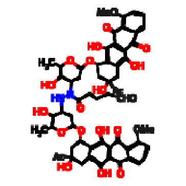 COc1cccc2c1C(=O)c1c(O)c3c(c(O)c1C2=O)C[C@@](O)(C(C)=O)C[C@@H]3OC1CC(NN(C(=O)CCCC=O)C2CC(O[C@H]3C[C@](O)(C(C)=O)Cc4c(O)c5c(c(O)c43)C(=O)c3c(OC)cccc3C5=O)OC(C)C2O)C(O)C(C)O1